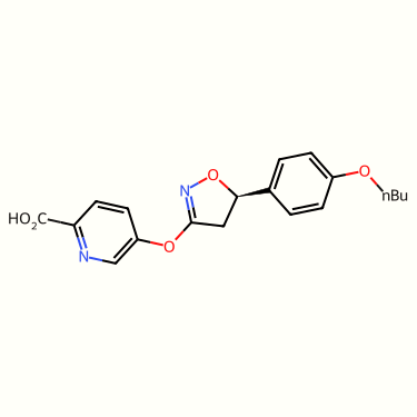 CCCCOc1ccc([C@H]2CC(Oc3ccc(C(=O)O)nc3)=NO2)cc1